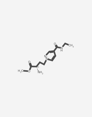 CCNC(=O)c1cc[n+](CC[C@H](N)C(=O)OC)nc1